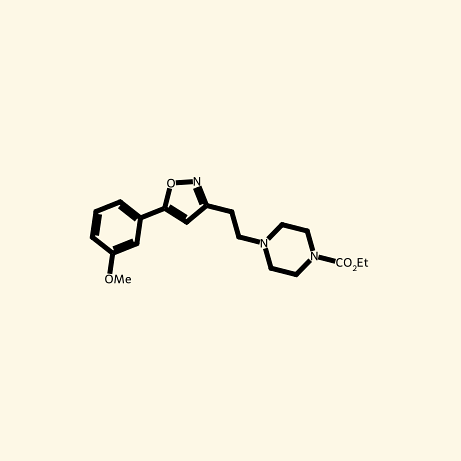 CCOC(=O)N1CCN(CCc2cc(-c3cccc(OC)c3)on2)CC1